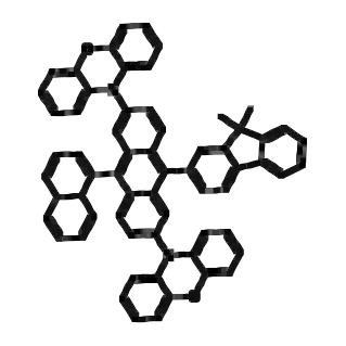 CC1(C)c2ccccc2-c2ccc(-c3c4ccc(N5c6ccccc6Oc6ccccc65)cc4c(C4=CC=CC5C=CC=CC45)c4ccc(N5c6ccccc6Oc6ccccc65)cc34)cc21